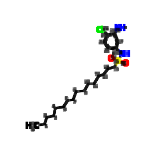 CCCCCCCCCCCCCCCCS(=O)(=O)Nc1ccc(Cl)c([NH])c1